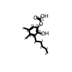 CCCCCc1c(C)c(C)cc(OC(=O)O)c1O